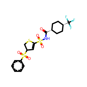 O=C(NS(=O)(=O)C1=CC(S(=O)(=O)c2ccccc2)CS1)[C@H]1CC[C@@H](C(F)(F)F)CC1